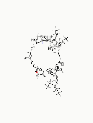 C=C1CC2CCC(O)/C=C/[C@H](O[Si](C)(C)C(C)(C)C)[C@@H]3O[C@H]4CCC(CC(=O)C[C@@H]5[C@@H](OC)[C@@H](C[C@@H](CO[Si](C)(C)C(C)(C)C)O[Si](C)(C)C(C)(C)C)O[C@H]5CC5O[C@@H](CCC1O2)C[C@@H](C)C5=C)O[C@@H]4[C@H](O[Si](C)(C)C(C)(C)C)[C@@H]3O[Si](C)(C)C(C)(C)C